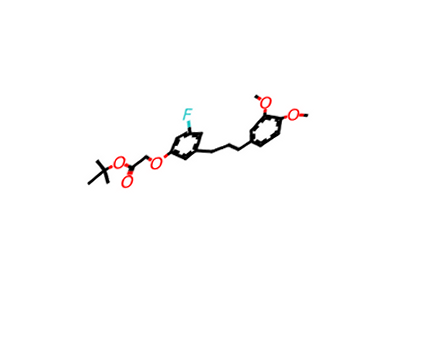 COc1ccc(CCCc2cc(F)cc(OCC(=O)OC(C)(C)C)c2)cc1OC